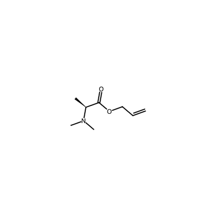 C=CCOC(=O)[C@H](C)N(C)C